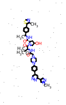 Cc1ncsc1-c1ccc([C@H](C)NC(=O)[C@@H]2C[C@@H](O)CN2C(=O)C(NC(=O)CN2CCN(c3ccc(-c4cnnc(-c5cnn(C)c5)c4)cc3)CC2)C(C)(C)C)cc1